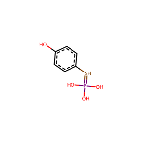 Oc1ccc([SH]=P(O)(O)O)cc1